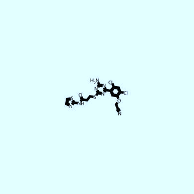 N#CCOc1cc(-c2nc(N)nc(SCCC(=O)Nc3nccs3)n2)c(Cl)cc1Cl